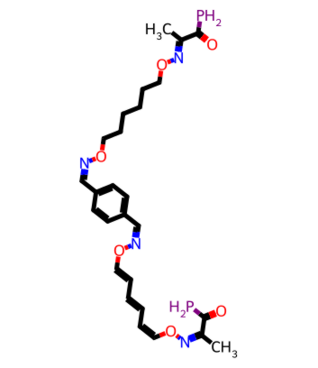 C/C(=N/O\C=C/C=C/C=C/O/N=C\c1ccc(/C=N\OCCCCCCO/N=C(\C)C(=O)P)cc1)C(=O)P